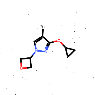 [2H]c1cn(C2COC2)nc1OC1CC1